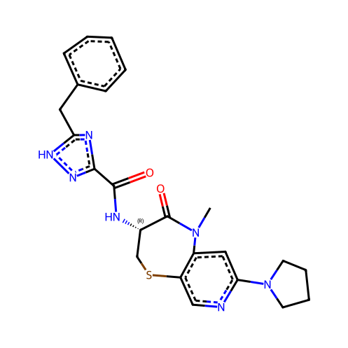 CN1C(=O)[C@@H](NC(=O)c2n[nH]c(Cc3ccccc3)n2)CSc2cnc(N3CCCC3)cc21